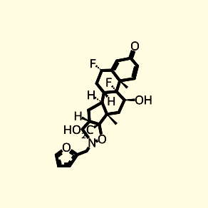 C[C@]12C=CC(=O)C=C1[C@@H](F)C[C@H]1[C@@H]3C[C@H]4CN(Cc5ccco5)O[C@@]4(C(=O)O)[C@@]3(C)C[C@H](O)[C@@]12F